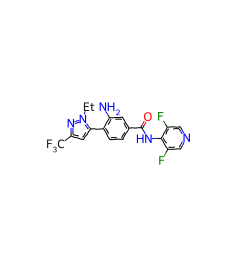 CCn1nc(C(F)(F)F)cc1-c1ccc(C(=O)Nc2c(F)cncc2F)cc1N